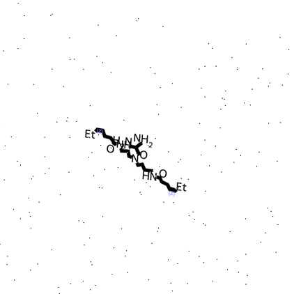 CC/C=C\CCC(=O)NCCCCN(CCCNC(=O)CC/C=C\CC)C(=O)C(CN)CN